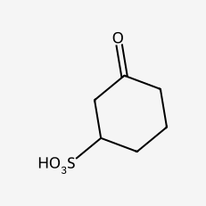 O=C1CCCC(S(=O)(=O)O)C1